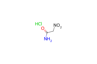 Cl.NC(=O)C[N+](=O)[O-]